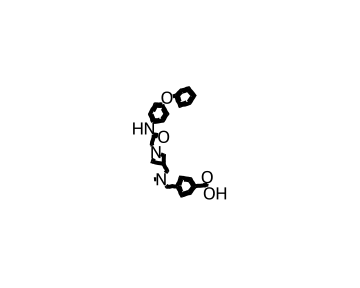 CN(Cc1ccc(C(=O)O)cc1)CC1CN(CC(=O)Nc2ccc(Oc3ccccc3)cc2)C1